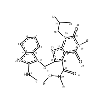 CNc1nc2ccccc2n1Cc1sc2c(c1C(=O)N(C)OC)c(=O)n(C)c(=O)n2CC(C)C